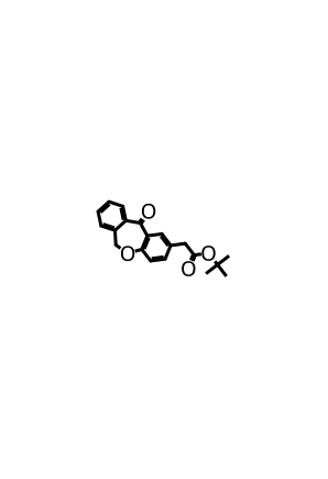 CC(C)(C)OC(=O)Cc1ccc2c(c1)C(=O)c1ccccc1CO2